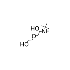 CC(C)(C)NC(O)COCCO